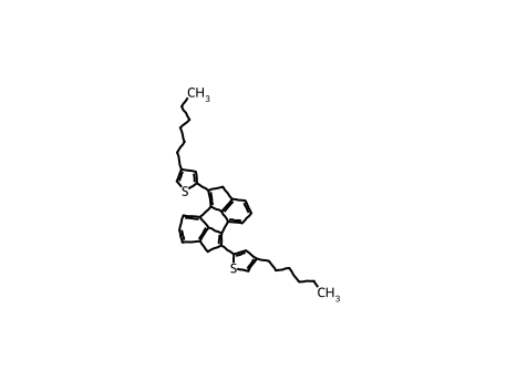 CCCCCCc1csc(C2=c3c4cccc5c4c(c4cccc(c34)C2)=C(c2cc(CCCCCC)cs2)C5)c1